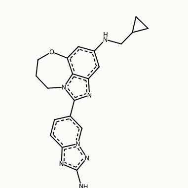 Nc1nc2ccc(-c3nc4cc(NCC5CC5)cc5c4n3CCCO5)cn2n1